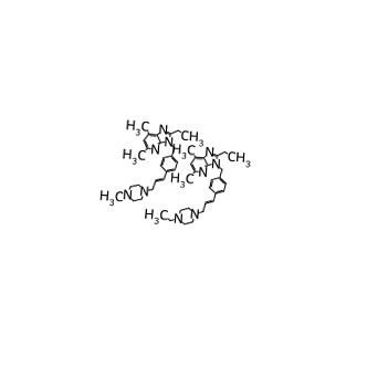 CCc1nc2c(C)cc(C)nc2n1Cc1ccc(C=CCN2CCN(C)CC2)cc1.CCc1nc2c(C)cc(C)nc2n1Cc1ccc(C=CCN2CCN(CC)CC2)cc1